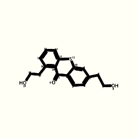 O=c1c2ccc(CCO)cc2sc2cccc(CCO)c12